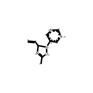 C=CC1N=C(C)ON1c1cncnc1